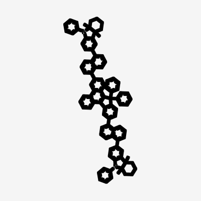 CC12CCCCC1(C)N(c1ccccc1)c1ccc(-c3cccc4c(-c5ccc6c(c5)-c5c(c7ccc(-c8cccc9c(-c%10ccc%11c(c%10)C%10(C)CCCCC%10(C)N%11c%10ccccc%10)cccc89)cc7c7ccccc57)C6(c5ccccc5)c5ccccc5)cccc34)cc12